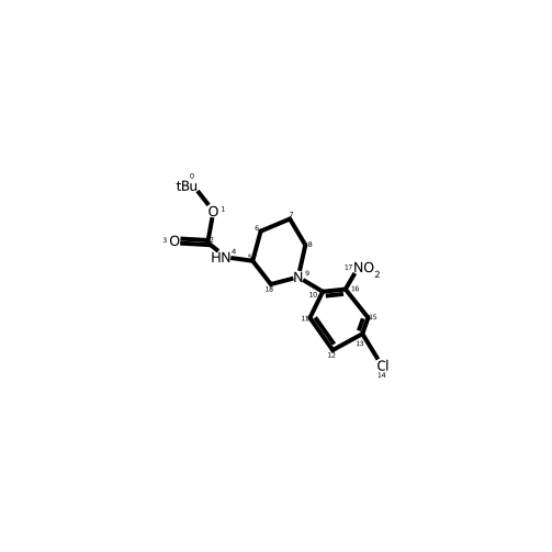 CC(C)(C)OC(=O)NC1CCCN(c2ccc(Cl)cc2[N+](=O)[O-])C1